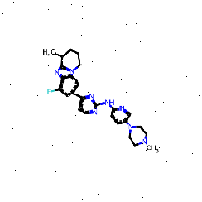 CC1CCCn2c1nc1c(F)cc(-c3ccnc(Nc4ccc(N5CCN(C)CC5)cn4)n3)cc12